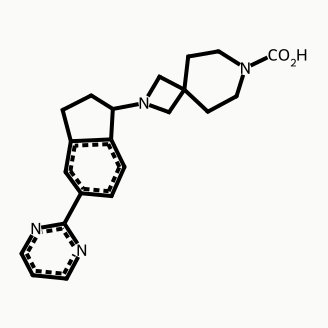 O=C(O)N1CCC2(CC1)CN(C1CCc3cc(-c4ncccn4)ccc31)C2